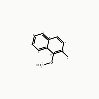 Cc1ccc2ccccc2c1OS(=O)(=O)O